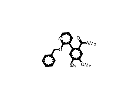 CNC(=O)c1cc(OC)c(C(C)(C)C)cc1-c1cccnc1OCc1ccccc1